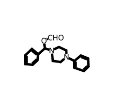 O=COC(c1ccccc1)N1CCN(c2ccccc2)CC1